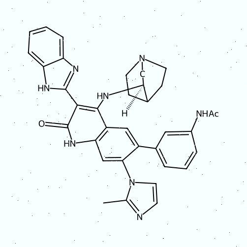 CC(=O)Nc1cccc(-c2cc3c(N[C@H]4CN5CCC4CC5)c(-c4nc5ccccc5[nH]4)c(=O)[nH]c3cc2-n2ccnc2C)c1